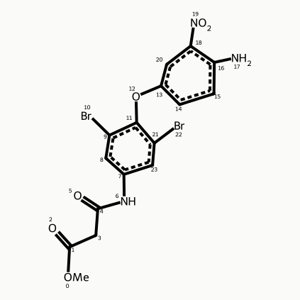 COC(=O)CC(=O)Nc1cc(Br)c(Oc2ccc(N)c([N+](=O)[O-])c2)c(Br)c1